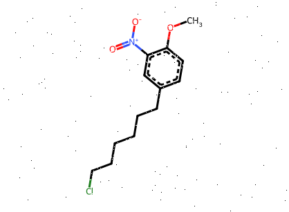 COc1ccc(CCCCCCCl)cc1[N+](=O)[O-]